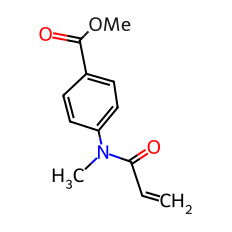 C=CC(=O)N(C)c1ccc(C(=O)OC)cc1